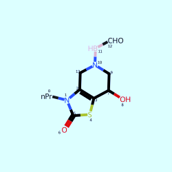 CCCn1c2c(sc1=O)C(O)CN(BC=O)C2